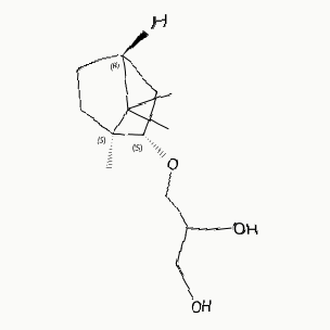 CC1(C)[C@@H]2CC[C@]1(C)[C@@H](OCC(O)CO)C2